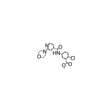 COC(=O)c1cc(NC(=O)c2ccnc(N3CCOCC3)c2)ccc1Cl